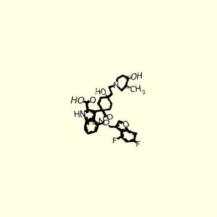 C[C@H]1CN(CCC2(O)CCC(C(N)=O)(c3c(C(=O)O)[nH]c4cccc(OCc5coc6cc(F)cc(F)c56)c34)CC2)CC[C@@H]1O